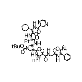 CCC[C@H](NC(=O)[C@@H]1CN(C(=O)OC(C)(C)C)C[C@@H]1NC(=O)[C@H](CC)NC(=O)[C@@H](NC(=O)c1cnccn1)C1CCCCC1)C(=O)C(=O)NCC(=O)N[C@H](C(=O)N(C)C)c1ccccc1